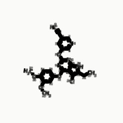 C#Cc1cncc(Oc2nc(Oc3ccc(OC)c(OC)c3)c3c(Cl)c(CC)[nH]c3n2)c1